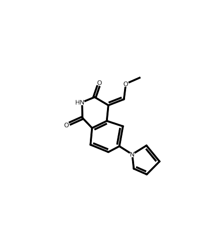 COC=C1C(=O)NC(=O)c2ccc(-n3cccc3)cc21